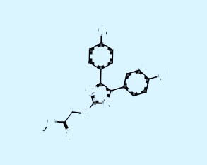 COC(=O)CSc1nc(-c2ccc(Cl)cc2)c(-c2ccc(Cl)cc2)o1